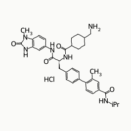 Cc1cc(C(=O)NC(C)C)ccc1-c1ccc(C[C@H](NC(=O)C2CCC(CN)CC2)C(=O)Nc2ccc3c(c2)[nH]c(=O)n3C)cc1.Cl